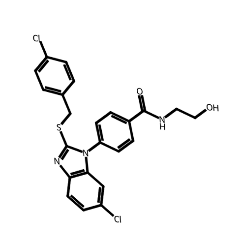 O=C(NCCO)c1ccc(-n2c(SCc3ccc(Cl)cc3)nc3ccc(Cl)cc32)cc1